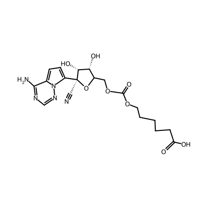 N#C[C@@]1(c2ccc3c(N)ncnn23)OC(COC(=O)OCCCCCC(=O)O)[C@@H](O)[C@H]1O